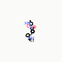 C=C1CCC(N2Cc3cc(C[C@H]4CCCC[C@@H]4NC(C)(C)CC)ccc3C2=O)C(=O)N1